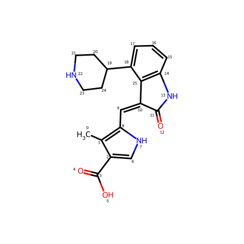 Cc1c(C(=O)O)c[nH]c1/C=C1\C(=O)Nc2cccc(C3CCNCC3)c21